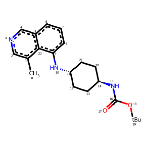 Cc1cncc2cccc(N[C@H]3CC[C@H](NC(=O)OC(C)(C)C)CC3)c12